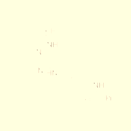 CC(C)C(=O)Nc1ccc(-c2cc3c(N[C@H](C)c4ccccc4)ncnc3[nH]2)cc1